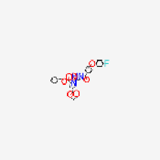 O=C(NCC(=O)N1C[C@H](C2OCCCO2)C[C@H]1C(=O)OCc1ccccc1)c1ccc(Oc2ccc(F)cc2)cc1